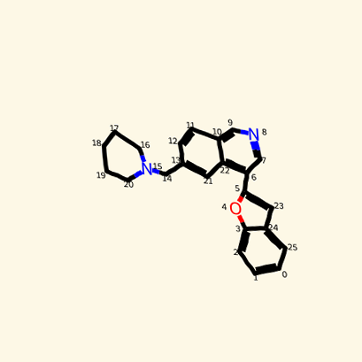 c1ccc2oc(-c3cncc4ccc(CN5CCCCC5)cc34)cc2c1